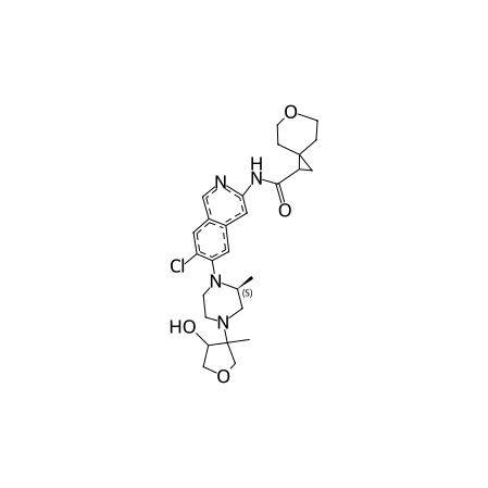 C[C@H]1CN(C2(C)COCC2O)CCN1c1cc2cc(NC(=O)C3CC34CCOCC4)ncc2cc1Cl